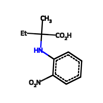 CCC(C)(Nc1ccccc1[N+](=O)[O-])C(=O)O